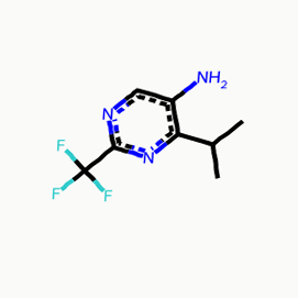 CC(C)c1nc(C(F)(F)F)ncc1N